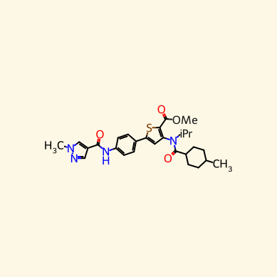 COC(=O)c1sc(-c2ccc(NC(=O)c3cnn(C)c3)cc2)cc1N(C(=O)C1CCC(C)CC1)C(C)C